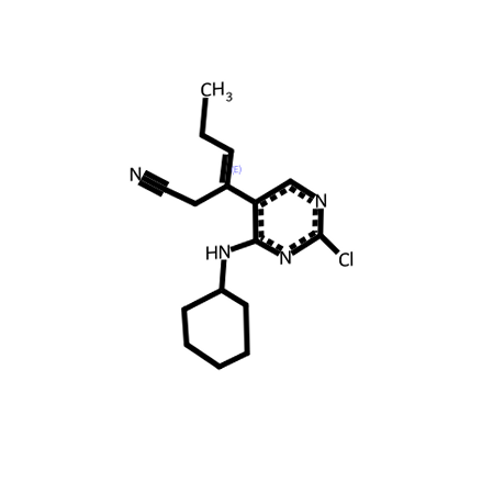 CC/C=C(\CC#N)c1cnc(Cl)nc1NC1CCCCC1